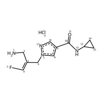 Cl.NC/C(=C\F)Cn1cc(C(=O)NC2CC2)cn1